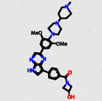 COc1cc(-c2cnc3[nH]cc(-c4ccc(C(=O)N5CC(O)C5)cc4)c3n2)cc(OC)c1N1CCN(C2CCN(C)CC2)CC1